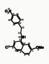 COc1ccc2nc(Cl)cc(NCCc3ccc([N+](=O)[O-])cc3)c2c1